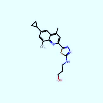 Cc1cc(-c2nnc(NCCCO)s2)nc2c(C(F)(F)F)cc(C3CC3)cc12